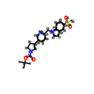 CC(C)(C)OC(=O)N1C=C(c2ccc(Cn3ccc4cc(S(C)(=O)=O)ccc43)nc2)CC1